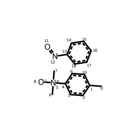 Cc1ccc([N+](C)(C)[O-])cc1.O=Nc1ccccc1